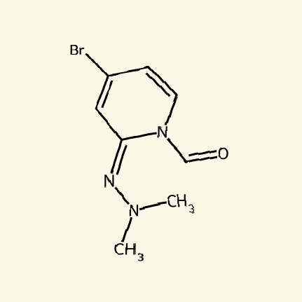 CN(C)/N=c1/cc(Br)ccn1C=O